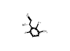 Cc1ccc(F)c([C@H](Br)C=O)c1F